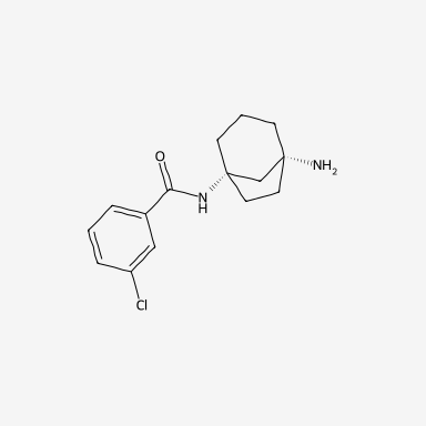 N[C@]12CCC[C@](NC(=O)c3cccc(Cl)c3)(CC1)C2